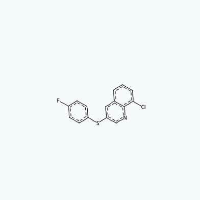 Fc1ccc(Sc2cnc3c(Cl)cccc3c2)cc1